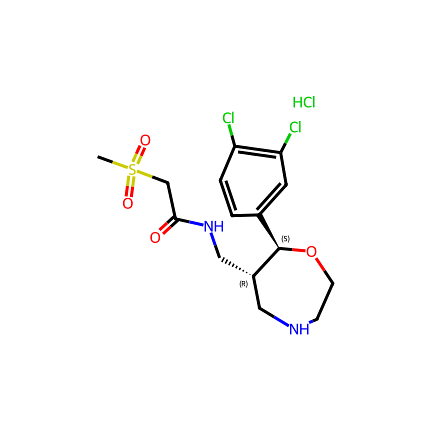 CS(=O)(=O)CC(=O)NC[C@H]1CNCCO[C@@H]1c1ccc(Cl)c(Cl)c1.Cl